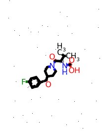 CC(C)[C@H](NC(=O)O)C(=O)N1CCC(C(=O)c2ccc(F)cc2)CC1